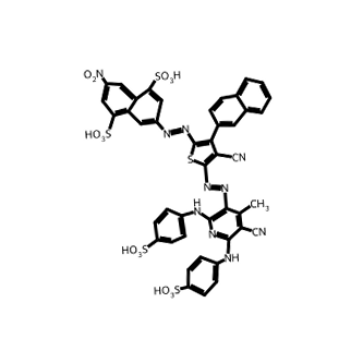 Cc1c(C#N)c(Nc2ccc(S(=O)(=O)O)cc2)nc(Nc2ccc(S(=O)(=O)O)cc2)c1/N=N/c1sc(/N=N/c2cc(S(=O)(=O)O)c3cc([N+](=O)[O-])cc(S(=O)(=O)O)c3c2)c(-c2ccc3ccccc3c2)c1C#N